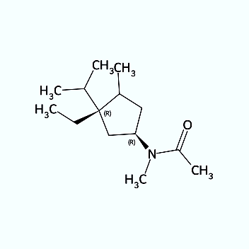 CC[C@]1(C(C)C)C[C@H](N(C)C(C)=O)CC1C